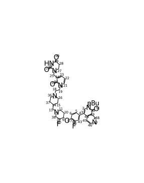 CCCCn1cc(-c2ccc(OC3CCN(CC4CCN(CCn5cccc(CN6CCC(=O)NC6=O)c5=O)CC4)C[C@H]3F)c(F)c2)c2ccncc2c1=O